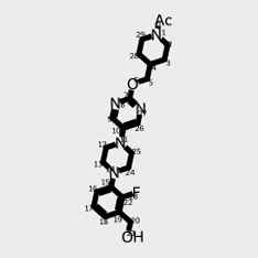 CC(=O)N1CCC(COc2ncc(N3CCN(c4cccc(CO)c4F)CC3)cn2)CC1